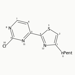 CCCCCc1csc(-c2ccnc(Cl)n2)n1